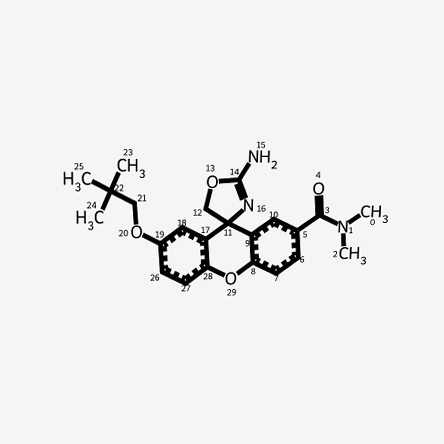 CN(C)C(=O)c1ccc2c(c1)C1(COC(N)=N1)c1cc(OCC(C)(C)C)ccc1O2